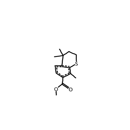 COC(=O)c1ccc2c(c1C)SCCC2(C)C